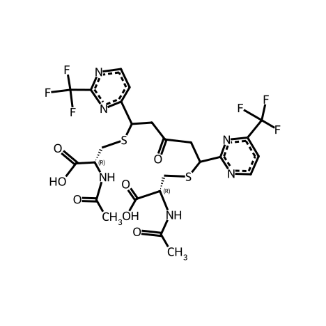 CC(=O)N[C@@H](CSC(CC(=O)CC(SC[C@H](NC(C)=O)C(=O)O)c1nccc(C(F)(F)F)n1)c1ccnc(C(F)(F)F)n1)C(=O)O